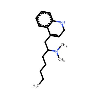 CCCCCC(CC1=CCNc2ccccc21)N(C)C